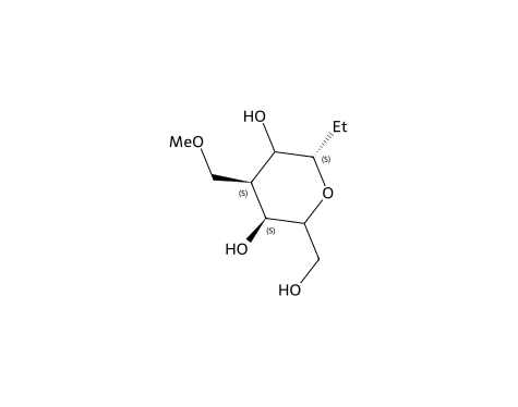 CC[C@@H]1OC(CO)[C@@H](O)[C@@H](COC)C1O